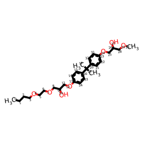 CCCCOCCOCC(O)COc1ccc(C(C)(C)c2ccc(OCC(O)COC)cc2)cc1